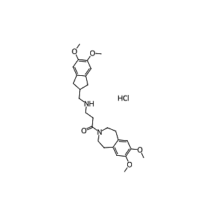 COc1cc2c(cc1OC)CCN(C(=O)CCNCC1Cc3cc(OC)c(OC)cc3C1)CC2.Cl